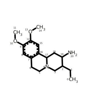 CCC1CN2CCc3cc(OC)c(OC)cc3C2CC1N